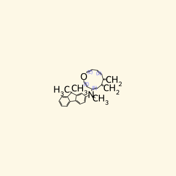 C=C1/C=C\C=C/O/C=C\C(N(C)c2ccc3c(c2)C(C)(C)c2ccccc2-3)=C/C1=C